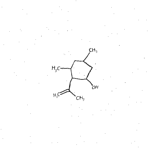 C=C(C)C1C(C)CC(C)CC1O